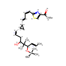 C/C=C/C(O[Si](C)(C)C(C)(C)C)C(C)(C)C(O)C/C=C\[C@H]1C[C@H]1/C=C/C=C\c1nc(C(=O)OC)cs1